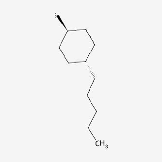 [C][C@H]1CC[C@H](CCCCC)CC1